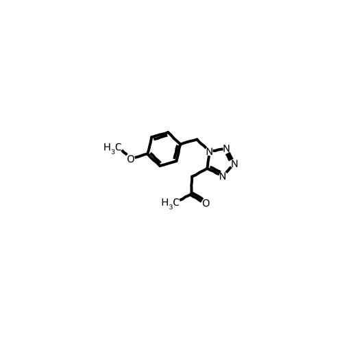 COc1ccc(Cn2nnnc2CC(C)=O)cc1